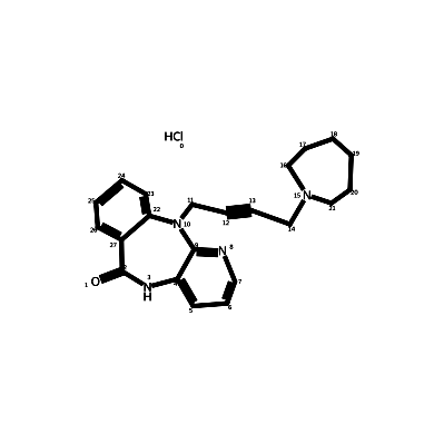 Cl.O=C1Nc2cccnc2N(CC#CCN2CCCCCC2)c2ccccc21